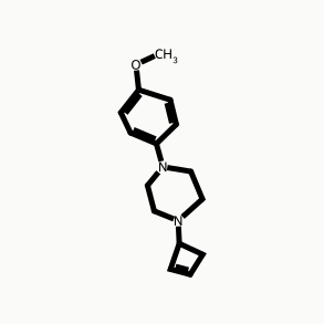 COc1ccc(N2CCN(C3C=CC3)CC2)cc1